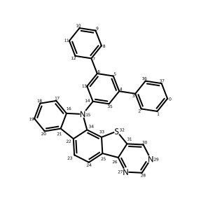 c1ccc(-c2cc(-c3ccccc3)cc(-n3c4ccccc4c4ccc5c6ncncc6sc5c43)c2)cc1